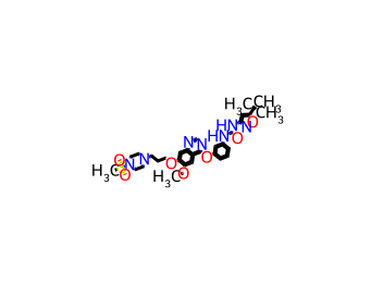 COc1cc2c(Oc3cccc(NC(=O)Nc4cc(C(C)(C)C)on4)c3)ncnc2cc1OCCCN1CCN(S(C)(=O)=O)CC1